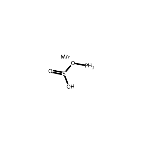 O=S(O)OP.[Mn]